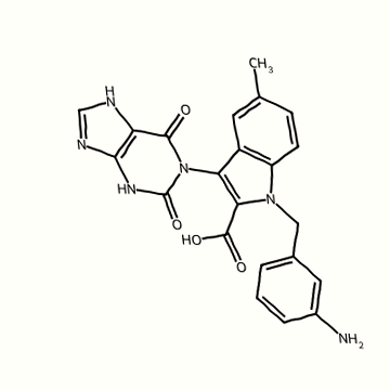 Cc1ccc2c(c1)c(-n1c(=O)[nH]c3nc[nH]c3c1=O)c(C(=O)O)n2Cc1cccc(N)c1